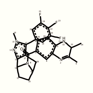 CC1=Nc2cc(C(=O)N3C4CCC3c3nn(C)c(-c5cc(F)c(F)c(F)c5)c3C4)ccc2NC1C